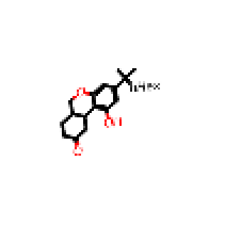 CCCCCCC(C)(C)c1cc(O)c2c(c1)OCC1CCC(=O)CC21